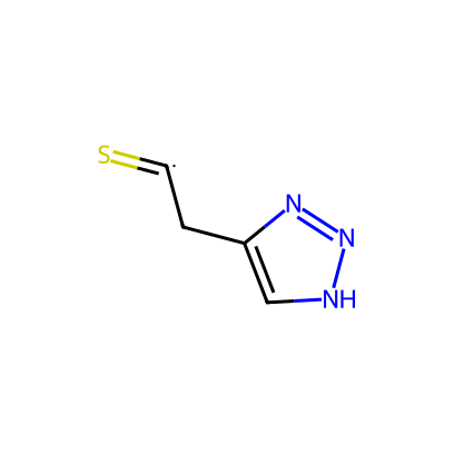 S=[C]Cc1c[nH]nn1